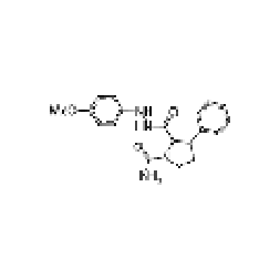 COc1ccc(NNC(=O)C2C(c3ccccc3)CCN2C(N)=O)cc1